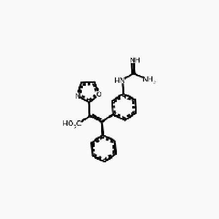 N=C(N)Nc1cccc(C(=C(C(=O)O)c2ncco2)c2ccccc2)c1